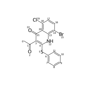 CC(=O)c1c(Sc2ccccc2)[nH]c2c(Br)ccc(Cl)c2c1=O